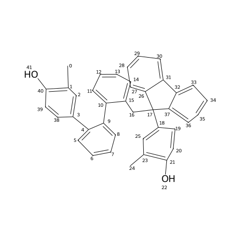 Cc1cc(-c2ccccc2-c2ccccc2CC2(c3ccc(O)c(C)c3)c3ccccc3-c3ccccc32)ccc1O